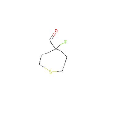 O=CC1(F)CCSCC1